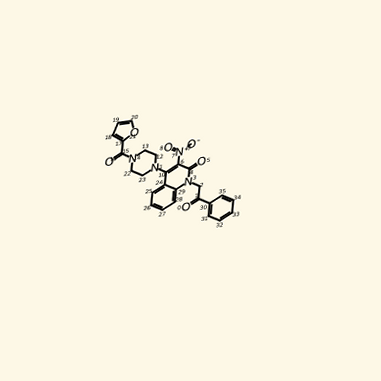 O=C(Cn1c(=O)c([N+](=O)[O-])c(N2CCN(C(=O)c3ccco3)CC2)c2ccccc21)c1ccccc1